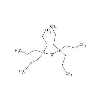 CCC[Si](CCC)(CCC)O[Si](CCC)(CCC)CCC